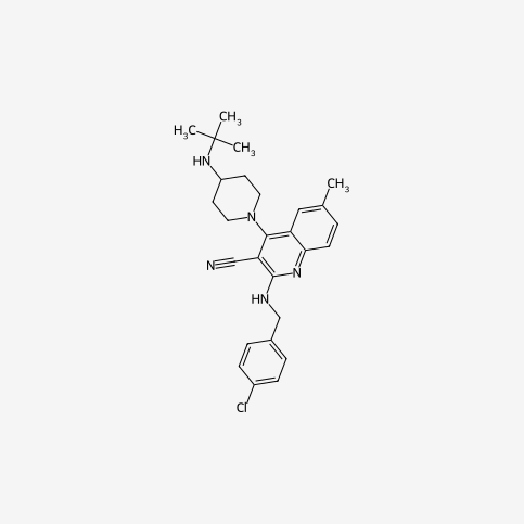 Cc1ccc2nc(NCc3ccc(Cl)cc3)c(C#N)c(N3CCC(NC(C)(C)C)CC3)c2c1